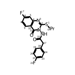 CC(C)Sc1nc2cc(F)ccc2c(=O)n1NC(=O)Cc1ccc(F)cc1